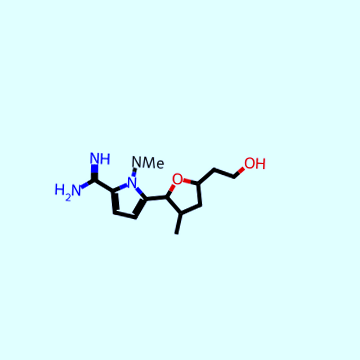 CNn1c(C(=N)N)ccc1C1OC(CCO)CC1C